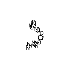 CC(C)c1noc(N2CCC(O[C@H]3CC[C@H](Oc4cnc(-n5cncn5)cn4)CC3)CC2)n1